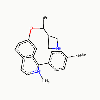 CSc1ccc(-c2c3cc(OC(C(C)C)C4CNC4)ccc3cc[n+]2C)cc1